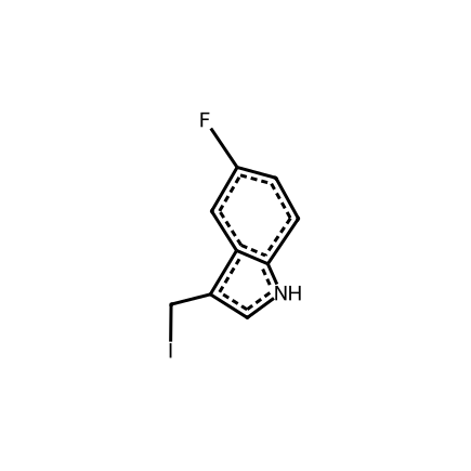 Fc1ccc2[nH]cc(CI)c2c1